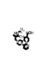 CCn1ncc(CN2CCN(c3cccnc3N3CCC(CO)CC3)CC2)c1C.Cl